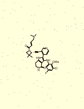 COc1c(Cl)cc(F)cc1Nc1c(-c2ccncc2C#C[C@H]2N(C(=O)/C=C/CN(C)C)CC2(C)C)[nH]c2c1C(=O)NCC2